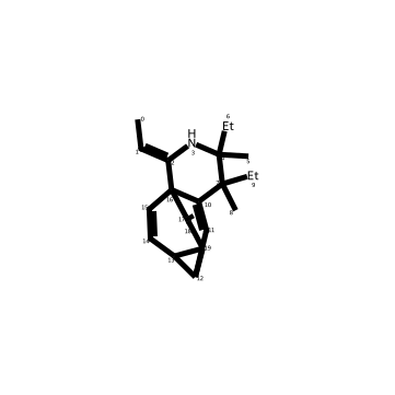 C/C=C1\NC(C)(CC)C(C)(CC)C2=CC3C4C=CC21C=CC43